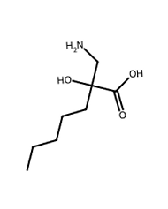 CCCCCC(O)(CN)C(=O)O